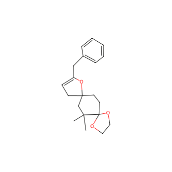 CC1(C)CC2(CC=C(Cc3ccccc3)O2)CCC12OCCO2